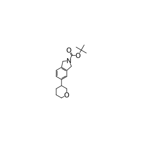 CC(C)(C)OC(=O)N1Cc2ccc(C3CCCOC3)cc2C1